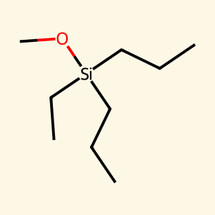 CCC[Si](CC)(CCC)OC